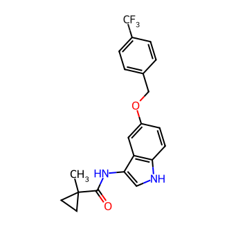 CC1(C(=O)Nc2c[nH]c3ccc(OCc4ccc(C(F)(F)F)cc4)cc23)CC1